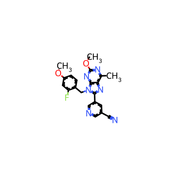 COc1ccc(Cn2c(-c3cncc(C#N)c3)nc3c(C)nc(OC)nc32)c(F)c1